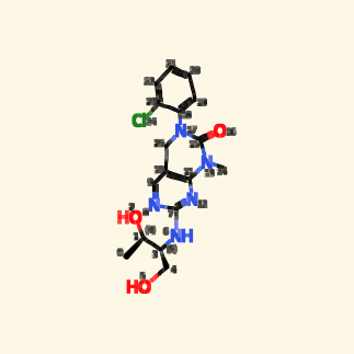 C[C@@H](O)[C@H](CO)Nc1ncc2c(n1)N(C)C(=O)N(c1ccccc1Cl)C2